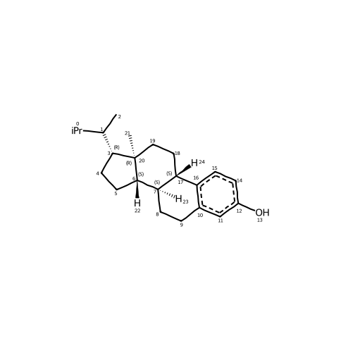 CC(C)C(C)[C@H]1CC[C@H]2[C@@H]3CCc4cc(O)ccc4[C@H]3CC[C@]12C